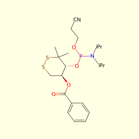 CC(C)N(C(C)C)P(OCCC#N)O[C@@H]1[C@@H](OC(=O)c2ccccc2)CSSC1(C)C